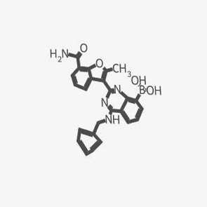 Cc1oc2c(C(N)=O)cccc2c1-c1nc(NCc2ccccc2)c2cccc(B(O)O)c2n1